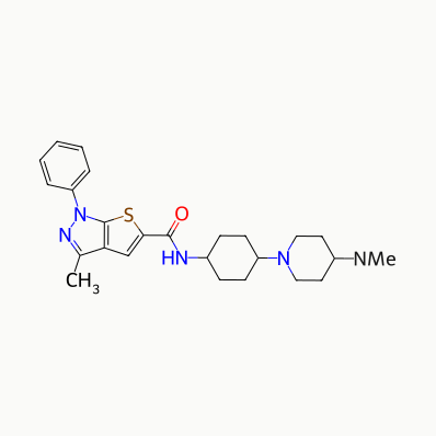 CNC1CCN(C2CCC(NC(=O)c3cc4c(C)nn(-c5ccccc5)c4s3)CC2)CC1